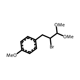 COc1ccc(CC(Br)C(OC)OC)cc1